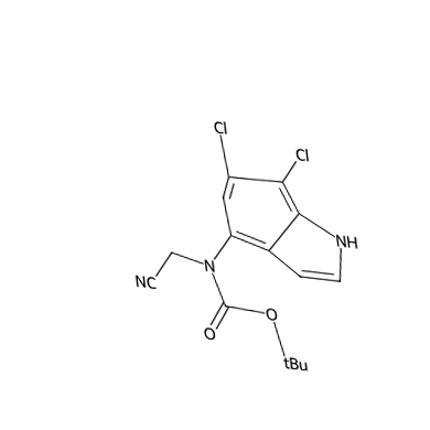 CC(C)(C)OC(=O)N(CC#N)c1cc(Cl)c(Cl)c2[nH]ccc12